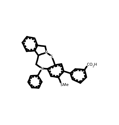 CSc1cc2c(cc1-c1cccc(C(=O)O)c1)SN1Cc3ccccc3C1CN2c1ccccc1